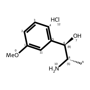 COc1cccc([C@@H](O)[C@H](C)N)c1.Cl